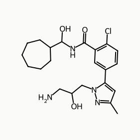 Cc1cc(-c2ccc(Cl)c(C(=O)NC(O)C3CCCCCC3)c2)n(CC(O)CN)n1